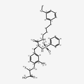 COc1cccc(CCCCNC(=O)[C@H](Cc2ccc(OC(F)C(=O)O)c(N)c2)NS(=O)(=O)c2ccccc2)c1